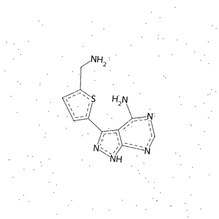 NCc1ccc(-c2n[nH]c3ncnc(N)c23)s1